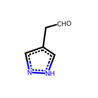 O=CCc1cn[nH]c1